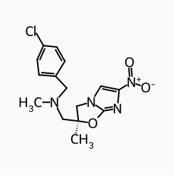 CN(Cc1ccc(Cl)cc1)C[C@@]1(C)Cn2cc([N+](=O)[O-])nc2O1